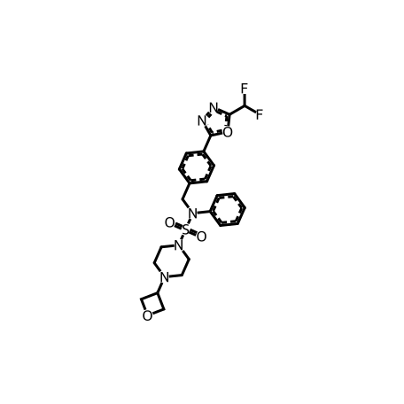 O=S(=O)(N1CCN(C2COC2)CC1)N(Cc1ccc(-c2nnc(C(F)F)o2)cc1)c1ccccc1